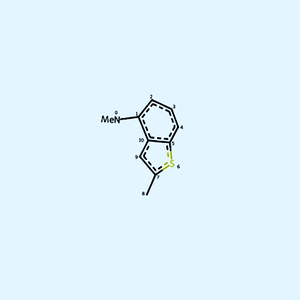 CNc1cccc2sc(C)cc12